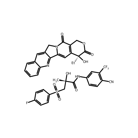 CC[C@@]1(O)C(=O)OCc2c1cc1n(c2=O)Cc2cc3ccccc3nc2-1.C[C@](O)(CS(=O)(=O)c1ccc(F)cc1)C(=O)Nc1ccc(C#N)c(C(F)(F)F)c1